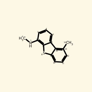 CNc1cccc2c1sc1cccc(C)c12